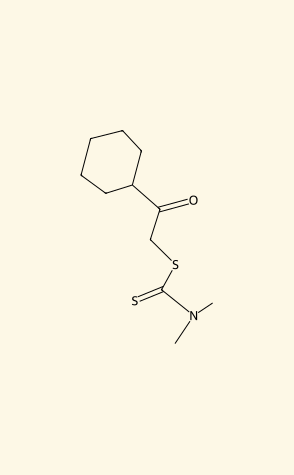 CN(C)C(=S)SCC(=O)C1CCCCC1